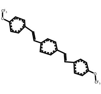 FC(F)(F)Oc1ccc(/C=C/c2ccc(/C=C/c3ccc(OC(F)(F)F)cc3)cc2)cc1